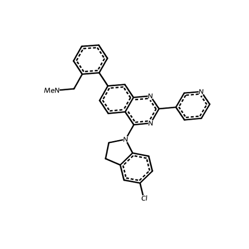 CNCc1ccccc1-c1ccc2c(N3CCc4cc(Cl)ccc43)nc(-c3cccnc3)nc2c1